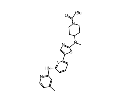 Cc1ccnc(Nc2cccc(-c3cnc(N(C)C4CCN(C(=O)C(C)(C)C)CC4)s3)n2)c1